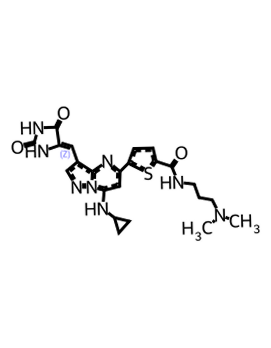 CN(C)CCCNC(=O)c1ccc(-c2cc(NC3CC3)n3ncc(/C=C4\NC(=O)NC4=O)c3n2)s1